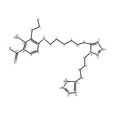 CCCc1c(OCCCCCCc2nnnn2CCCCc2nnn[nH]2)ccc(C(C)=O)c1O